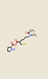 CC(=O)N(C)CCCCC(CS)C(=O)OC(=O)[C@@H]1CCCN1